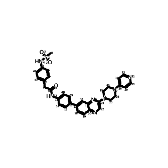 CS(=O)(=O)Nc1ccc(CC(=O)Nc2ccc(-c3ccc4ncc(N5CCN(c6ccncc6)CC5)nc4c3)cc2)cc1